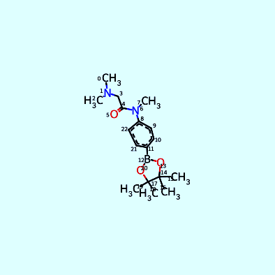 CN(C)CC(=O)N(C)c1ccc(B2OC(C)(C)C(C)(C)O2)cc1